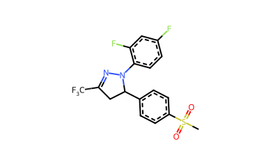 CS(=O)(=O)c1ccc(C2CC(C(F)(F)F)=NN2c2ccc(F)cc2F)cc1